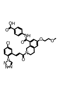 COCCOc1cc2c(c(C(=O)Nc3ccc(C(=O)O)cc3)c1)CN(C(=O)/C=C/c1cc(Cl)ccc1-n1cnnn1)CC2